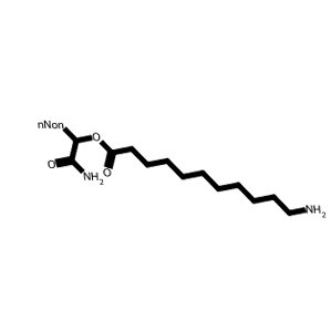 CCCCCCCCCC(OC(=O)CCCCCCCCCCN)C(N)=O